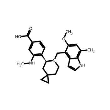 CNc1cc(C(=O)O)ccc1[C@@H]1CC2(CCN1Cc1c(OC)cc(C)c3[nH]ccc13)CC2